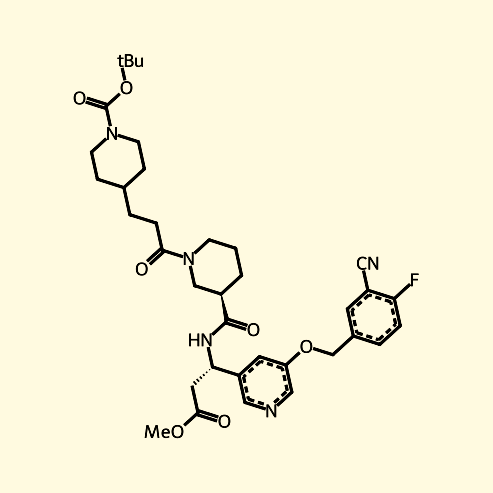 COC(=O)C[C@H](NC(=O)[C@@H]1CCCN(C(=O)CCC2CCN(C(=O)OC(C)(C)C)CC2)C1)c1cncc(OCc2ccc(F)c(C#N)c2)c1